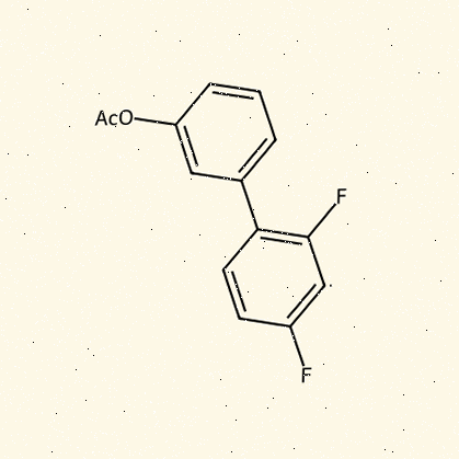 CC(=O)Oc1cccc(-c2ccc(F)[c]c2F)c1